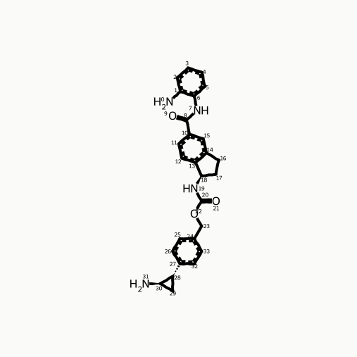 Nc1ccccc1NC(=O)c1ccc2c(c1)CC[C@H]2NC(=O)OCc1ccc([C@@H]2C[C@H]2N)cc1